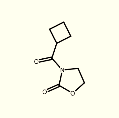 O=C1OCCN1C(=O)C1CCC1